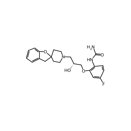 NC(=O)Nc1ccc(F)cc1OC[C@H](O)CN1CCC2(CC1)Cc1ccccc1O2